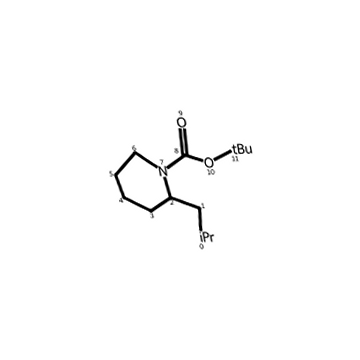 CC(C)CC1CCCCN1C(=O)OC(C)(C)C